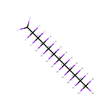 I[C](I)C(I)(I)C(I)(I)C(I)(I)C(I)(I)C(I)(I)C(I)(I)C(I)(I)C(I)(I)C(I)(I)C(I)(I)C(I)(I)I